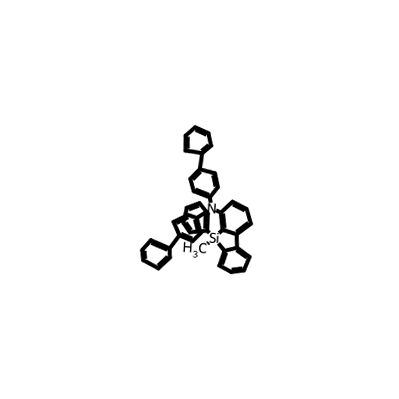 C[Si]1(c2ccccc2)c2ccccc2-c2cccc(N(c3ccc(-c4ccccc4)cc3)c3ccc(-c4ccccc4)cc3)c21